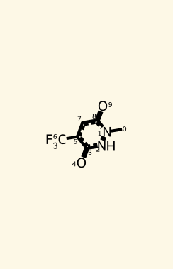 Cn1[nH]c(=O)c(C(F)(F)F)cc1=O